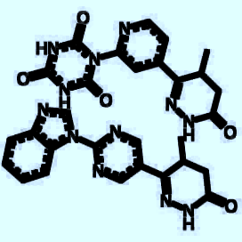 CC1CC(=O)NN=C1c1ccnc(-n2c(=O)[nH]c(=O)[nH]c2=O)c1.CC1CC(=O)NN=C1c1cnc(-n2cnc3ccccc32)nc1